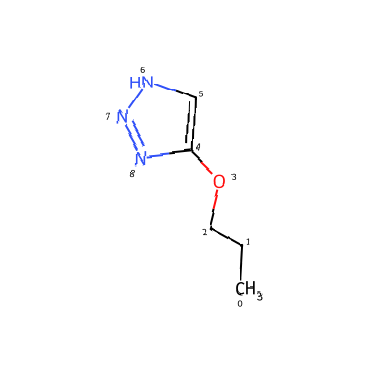 CCCOc1c[nH]nn1